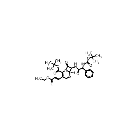 CCOC(=O)C=CC1=C(C(=O)OC(C)(C)C)N2C(=O)C(NC(=O)C(NC(=O)OC(C)(C)C)c3ccccc3)[C@@H]2SC1